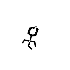 CCS(CC)(CC)c1ccncc1